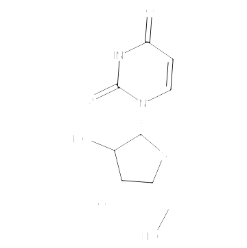 O=c1ccn([C@@H]2S[C@H](CO)[C@H](O)C2O)c(=O)[nH]1